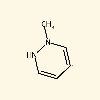 CN1C=[C]C=CN1